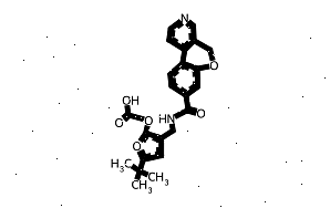 CC(C)(C)c1cc(CNC(=O)c2ccc3c(c2)OCc2cnccc2-3)c(OC(=O)O)o1